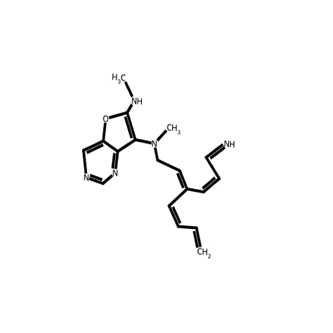 C=C\C=C/C(/C=C\C=N)=C\CN(C)c1c(NC)oc2cncnc12